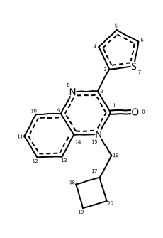 O=c1c(-c2cccs2)nc2ccccc2n1CC1CCC1